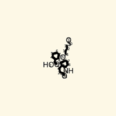 O=C(O)c1ccccc1.O=S=CCCCOc1ccc2c(c1)CCC(=O)N2